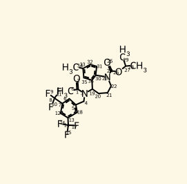 CC(=O)N(Cc1cc(C(F)(F)F)cc(C(F)(F)F)c1)C1CCCN(C(=O)OC(C)C)c2ccc(C)cc21